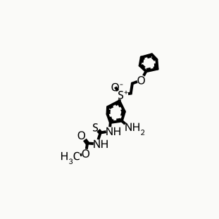 COC(=O)NC(=S)Nc1ccc([S+]([O-])CCOc2ccccc2)cc1N